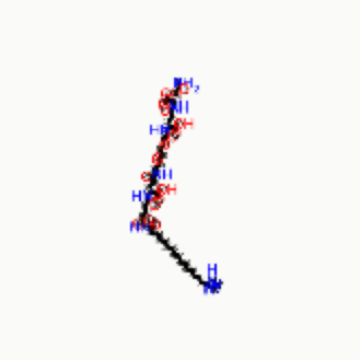 NC(=O)CC[C@H](NC(=O)CC[C@H](NC(=O)COCCOCCNC(=O)CC[C@H](NC(=O)CCCS(=O)(=O)NC(=O)CCCCCCCCCCCCCCCc1nnn[nH]1)C(=O)O)C(=O)O)C(=O)O